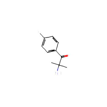 CCc1ccc(C(=O)C(C)(C)N)cc1